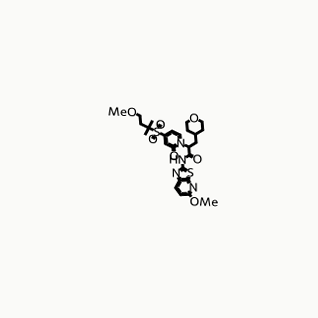 COCCC(C)(C)S(=O)(=O)c1ccn(C(CC2CCOCC2)C(=O)Nc2nc3ccc(OC)nc3s2)c(=O)c1